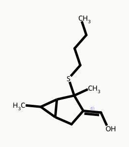 CCCCSC1(C)/C(=C/O)CC2C(C)C21